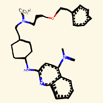 CN(C)c1cc(NC2CCC(CN(CCOCc3ccccc3)C(=O)O)CC2)nc2ccccc12